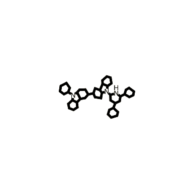 C1CCC(C2CC(C3CCCCC3)NC(N3C4CCCCC4C4CC(C5CCC6C(C5)C5CCCCC5N6C5CCCCC5)CCC43)C2)CC1